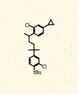 CC(CCC(C)(C)c1ccc(C(C)(C)C)c(Cl)c1)c1ccc(C2CC2)cc1Cl